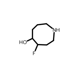 OC1CCCNCCC1F